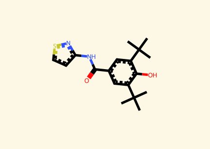 CC(C)(C)c1cc(C(=O)Nc2ccsn2)cc(C(C)(C)C)c1O